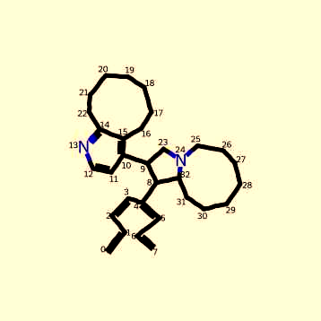 C=C/C=C\C(=C/C=C)C1C(c2ccnc3c2CCCCCCC3)CN2CCCCCCCC12